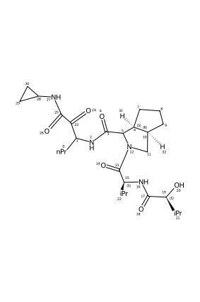 CCCC(NC(=O)C1[C@H]2CCC[C@H]2CN1C(=O)[C@@H](NC(=O)[C@@H](O)C(C)C)C(C)C)C(=O)C(=O)NC1CC1